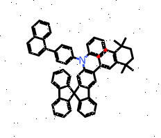 CC1(C)CCC(C)(C)c2cc(-c3cc4c(cc3N(c3ccccc3)c3ccc(-c5cccc6ccccc56)cc3)C3(c5ccccc5-c5ccccc53)c3ccccc3-4)ccc21